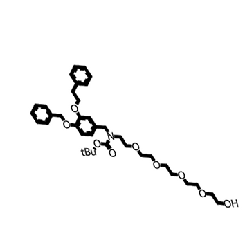 CC(C)(C)OC(=O)N(CCOCCOCCOCCOCCO)Cc1ccc(OCc2ccccc2)c(OCCc2ccccc2)c1